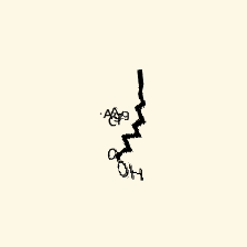 C=CCCCCCCCCC(=O)O.[Ag].[Cl][Ag]